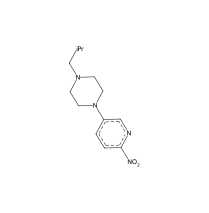 CC(C)CN1CCN(c2ccc([N+](=O)[O-])nc2)CC1